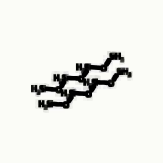 [SiH3]O[SiH2]O[SiH2]O[SiH3].[SiH3]O[SiH2]O[SiH2]O[SiH3]